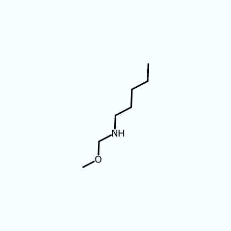 CCCCCNCOC